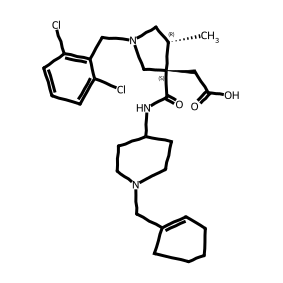 C[C@H]1CN(Cc2c(Cl)cccc2Cl)C[C@@]1(CC(=O)O)C(=O)NC1CCN(CC2=CCCCC2)CC1